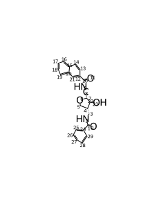 O=C(NC[C@@H]1CO[C@H](CNC(=O)c2ccc3ccccc3c2)[C@H]1O)c1ccccc1